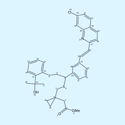 COC(=O)CC1(CSC(CCc2ccccc2C(C)(C)O)c2cccc(C=Cc3ccc4ccc(Cl)cc4n3)c2)CC1